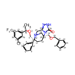 C[C@@H](OC[C@@]1(c2ccccc2)CC[C@@]2(COCc3ccccc3)CN1Cc1n[nH]c(=O)n12)c1cc(C(F)(F)F)cc(C(F)(F)F)c1